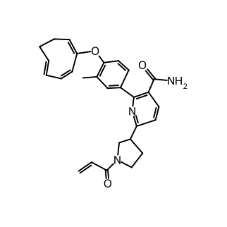 C=CC(=O)N1CCC(c2ccc(C(N)=O)c(-c3ccc(OC4=C/CC/C=C/C=C\4)c(C)c3)n2)C1